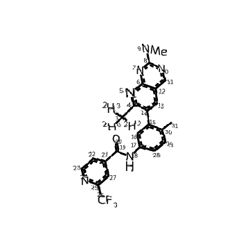 [2H]C([2H])([2H])c1nc2nc(NC)ncc2cc1-c1cc(NC(=O)c2ccnc(C(F)(F)F)c2)ccc1C